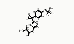 C=C(Cc1noc(C2(c3ccc(OC(F)(F)F)cc3)CC2)n1)C(=O)O